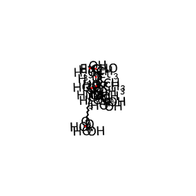 CCC(O)C(C)(C=O)[C@@H]1CC[C@@]2(C=C3C4CC(C)(C)CCC4(C(=O)O[C@@H]4O[C@H](CO)C(NC(=O)CCCCCCCCCCO[C@@H]5O[C@@H](CO)C(O)C5O)C(O)C4O[C@@H]4O[C@H](C)C(O[C@@H]5OC[C@@H](O)C(O)C5O)C(O)C4O)[C@H](O)C[C@]32C)C(CC)C1(C)C